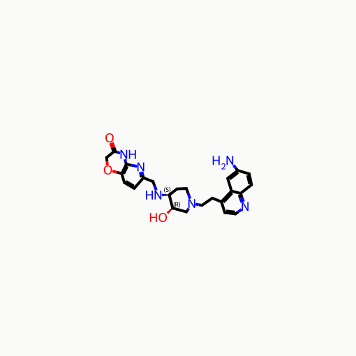 Nc1ccc2nccc(CCN3CC[C@H](NCc4ccc5c(n4)NC(=O)CO5)[C@H](O)C3)c2c1